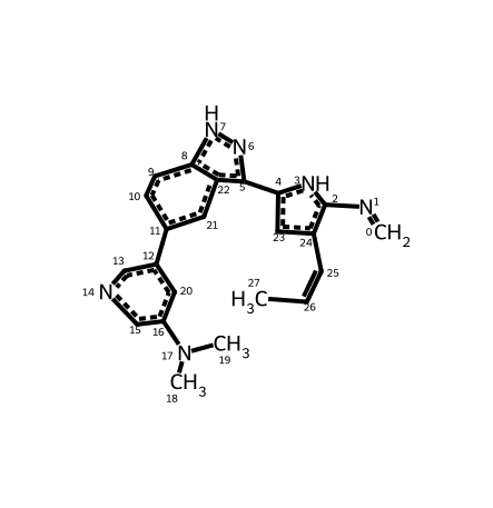 C=Nc1[nH]c(-c2n[nH]c3ccc(-c4cncc(N(C)C)c4)cc23)cc1/C=C\C